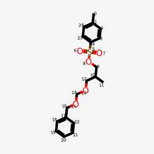 Cc1ccc(S(=O)(=O)OCC(C)COCOCc2ccccc2)cc1